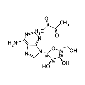 CC(=O)C(C)=O.Nc1ncnc2c1ncn2[C@@H]1O[C@H](CO)[C@@H](O)[C@H]1O